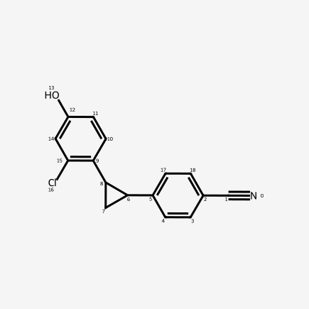 N#Cc1ccc(C2CC2c2ccc(O)cc2Cl)cc1